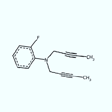 CC#CCN(CC#CC)c1ccccc1F